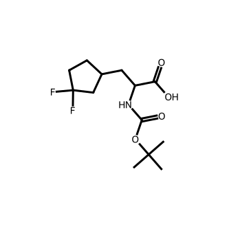 CC(C)(C)OC(=O)NC(CC1CCC(F)(F)C1)C(=O)O